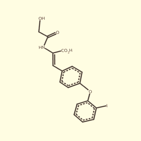 O=C(CO)N/C(=C/c1ccc(Oc2ccccc2I)cc1)C(=O)O